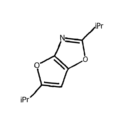 CC(C)c1cc2oc(C(C)C)nc2o1